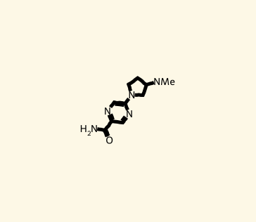 CNC1CCN(c2cnc(C(N)=O)cn2)C1